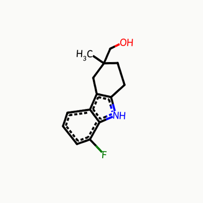 CC1(CO)CCc2[nH]c3c(F)cccc3c2C1